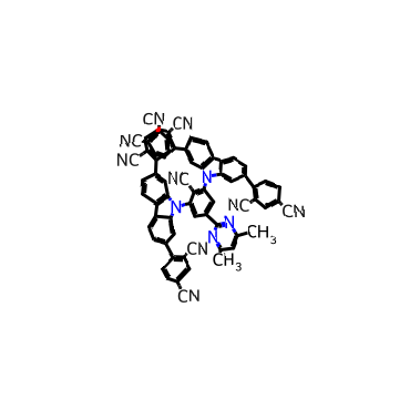 Cc1cc(C)nc(-c2cc(-n3c4cc(-c5ccc(C#N)cc5C#N)ccc4c4ccc(-c5ccc(C#N)cc5C#N)cc43)c(C#N)c(-n3c4cc(-c5ccc(C#N)cc5C#N)ccc4c4ccc(-c5ccc(C#N)cc5C#N)cc43)c2)n1